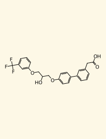 O=C(O)Cc1cccc(-c2ccc(OCC(O)COc3cccc(C(F)(F)F)c3)cc2)c1